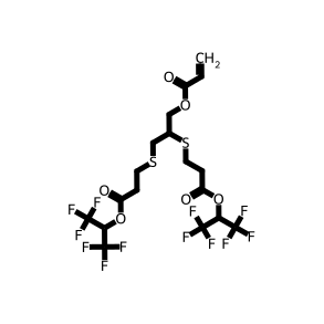 C=CC(=O)OCC(CSCCC(=O)OC(C(F)(F)F)C(F)(F)F)SCCC(=O)OC(C(F)(F)F)C(F)(F)F